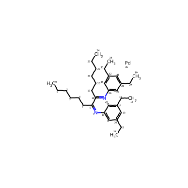 CCCCCCC(=Nc1cc(CC)cc(CC)c1)C(CCCCCC)=Nc1cc(CC)cc(CC)c1.[Pd]